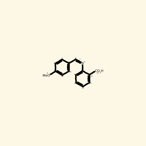 COc1ccc(/C=N\c2ccccc2C(=O)O)cc1